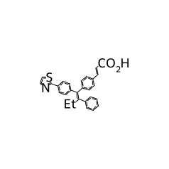 CC/C(=C(/c1ccc(/C=C/C(=O)O)cc1)c1ccc(-c2nccs2)cc1)c1ccccc1